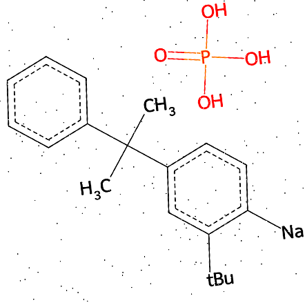 CC(C)(C)c1cc(C(C)(C)c2ccccc2)cc[c]1[Na].O=P(O)(O)O